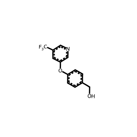 OCc1ccc(Oc2cncc(C(F)(F)F)c2)cc1